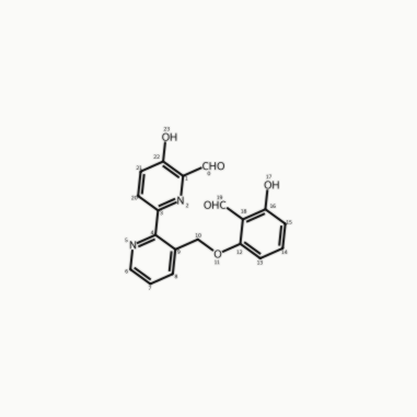 O=Cc1nc(-c2ncccc2COc2cccc(O)c2C=O)ccc1O